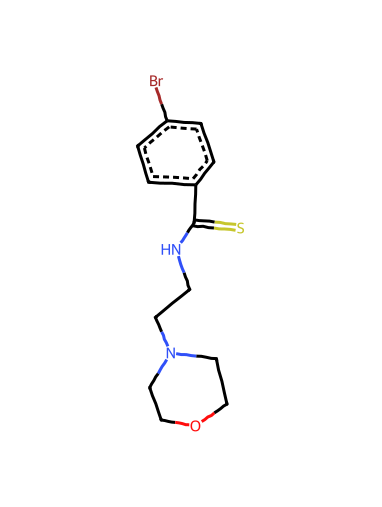 S=C(NCCN1CCOCC1)c1ccc(Br)cc1